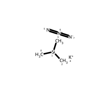 C[Si](C)C.[K+].[N-]=[N+]=[N-]